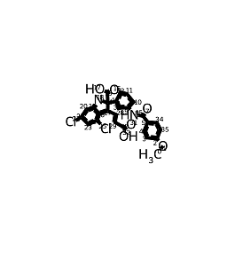 COc1ccc(C(=O)Nc2cccc(C3(C(=O)O)N=c4cc(Cl)cc(Cl)c4=C3C=CC(=O)O)c2)cc1